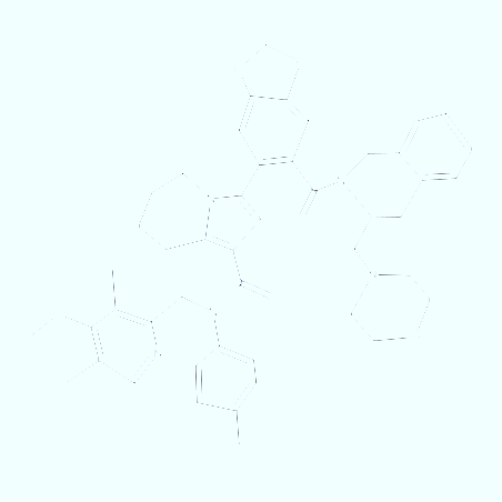 COc1c(C)cnc(CN(C(=O)c2cc(-c3cc4c(cc3C(=O)N3Cc5ccccc5CC3CN3CCOCC3)OCO4)n3c2CCCC3)c2ccc(O)cc2)c1C